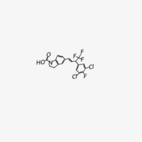 O=C(O)N1CCc2cc(C=CC(c3cc(Cl)c(F)c(Cl)c3)C(F)(F)F)ccc21